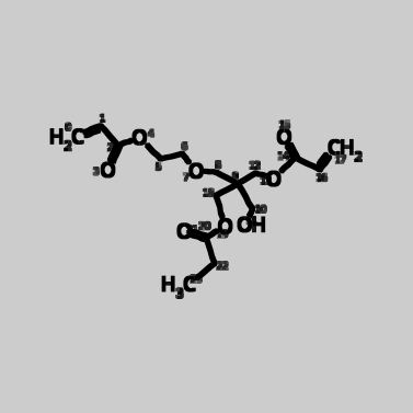 C=CC(=O)OCCOCC(CO)(COC(=O)C=C)COC(=O)CC